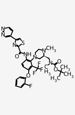 CN(C[C@H]1CN(c2c(NC(=O)c3nc(-c4ccnnc4)cs3)ccc(Oc3ccccc3F)c2C(F)(F)F)CCN1C)C(=O)OC(C)(C)C